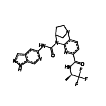 C[C@@H](NC(=O)c1ccc2c(n1)N(C(=O)Nc1cc3cn[nH]c3cn1)C1CCN2C1)C(F)(F)F